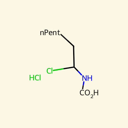 CCCCCCC(Cl)NC(=O)O.Cl